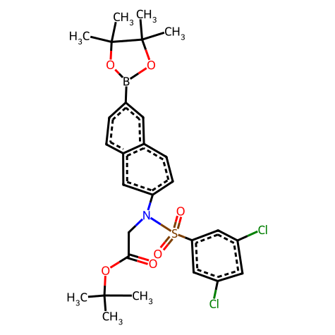 CC(C)(C)OC(=O)CN(c1ccc2cc(B3OC(C)(C)C(C)(C)O3)ccc2c1)S(=O)(=O)c1cc(Cl)cc(Cl)c1